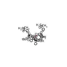 CC(=O)O[C@@]12CC[C@@H]1C[C@H](O)[C@@]1(C)C(=O)[C@H](OC(=O)OC[n+]3cccc(C(=O)N(C)C)c3)C3=C(C)[C@@H](OC(=O)[C@H](OC(=O)OC[n+]4cccc(C(=O)N(C)C)c4)[C@@H](NC(=O)OC(C)(C)C)c4ccccc4)C[C@@](O)([C@@H](OC(=O)c4ccccc4)[C@H]21)C3(C)C